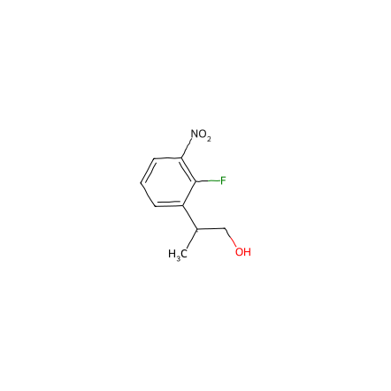 C[C](CO)c1cccc([N+](=O)[O-])c1F